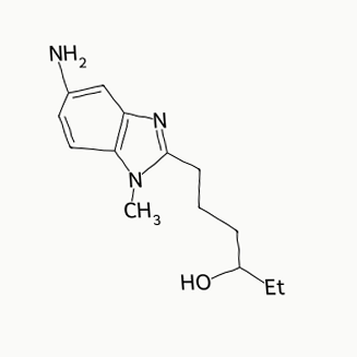 CCC(O)CCCc1nc2cc(N)ccc2n1C